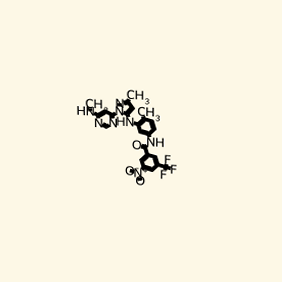 CNc1cc(-n2nc(C)cc2Nc2cc(NC(=O)c3cc([N+](=O)[O-])cc(C(F)(F)F)c3)ccc2C)ncn1